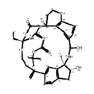 C=C1CCC[C@]2(CC)CC(=O)N(/C(=N/C(=O)OC(C)(C)C)N2)[C@@H]2CCOc3ccc(cc32)C(O)N[C@@H]2c3cc1ccc3C[C@H]2O